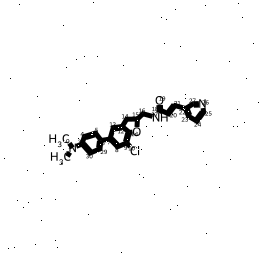 CN(C)c1ccc(-c2cc(Cl)c3c(c2)CC(CNC(=O)C=Cc2cccnc2)O3)cc1